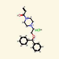 C=CC(=O)N1CCN(CCOC(c2ccccc2)c2ccccc2)CC1.Cl